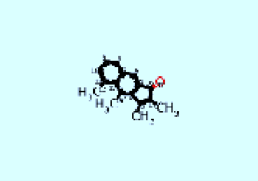 CC1=C(C)c2c(cc3cccc(C)c3c2C)C1=O